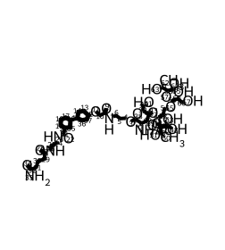 CC(=O)NC1C(OCCCNC(=O)COc2ccc(-c3cccc(C(=O)NCCNC(=O)CCCC(N)=O)c3)cc2)OC(CO)C(OC(OC(CO)[C@@H](C)O)[C@@H](O)COC(OC(CO)[C@@H](C)O)[C@@H](O)CO)C1O